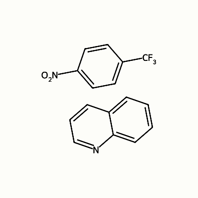 O=[N+]([O-])c1ccc(C(F)(F)F)cc1.c1ccc2ncccc2c1